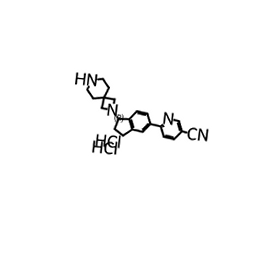 Cl.Cl.N#Cc1ccc(-c2ccc3c(c2)CC[C@H]3N2CC3(CCNCC3)C2)nc1